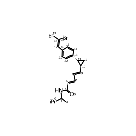 CC(C)C(C)NC(=O)C=CC=C[C@@H]1C[C@H]1c1ccc(C=C(Br)Br)cc1